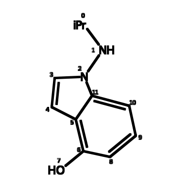 CC(C)Nn1ccc2c(O)cccc21